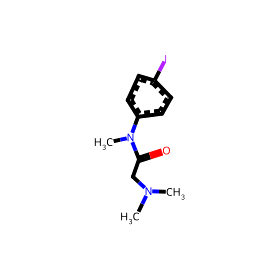 CN(C)CC(=O)N(C)c1ccc(I)cc1